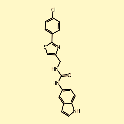 O=C(NCc1csc(-c2ccc(Cl)cc2)n1)Nc1ccc2[nH]ccc2c1